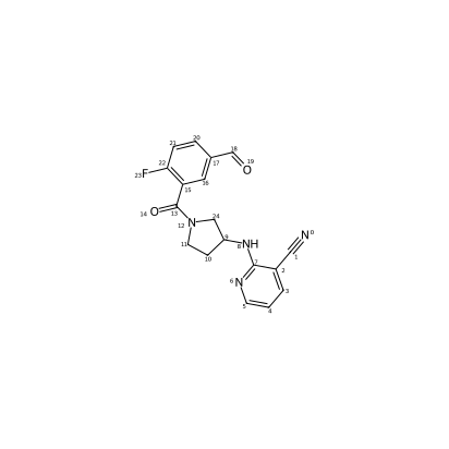 N#Cc1cccnc1NC1CCN(C(=O)c2cc(C=O)ccc2F)C1